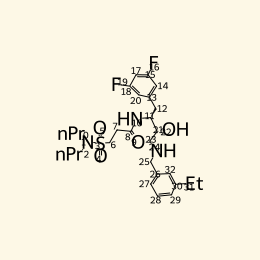 CCCN(CCC)S(=O)(=O)CCC(=O)N[C@@H](Cc1cc(F)cc(F)c1)[C@H](O)CNCc1cccc(CC)c1